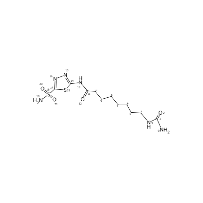 NC(=O)NCCCCCCCC(=O)Nc1nnc(S(N)(=O)=O)s1